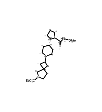 CCOC(=O)N1CCC2(CC(N3CCC([C@@H]4CCCN4C(=O)NOC)CC3)C2)C1